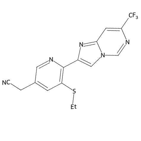 CCSc1cc(CC#N)cnc1-c1cn2cnc(C(F)(F)F)cc2n1